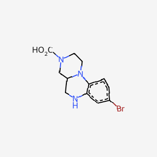 O=C(O)N1CCN2c3ccc(Br)cc3NCC2C1